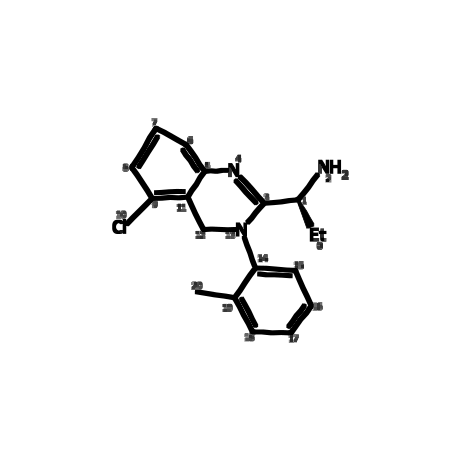 CC[C@H](N)C1=Nc2cccc(Cl)c2CN1c1ccccc1C